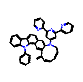 C=C1/C=C\C=C/CN(c2cc(-c3ccccn3)nc(-c3ccccn3)c2)c2cc3ccc4c5ccccc5n(-c5ccccc5)c4c3cc21